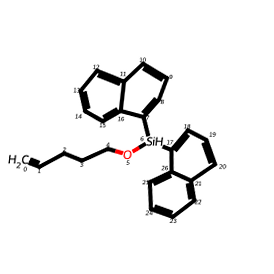 C=CCCCO[SiH](c1cccc2ccccc12)c1cccc2ccccc12